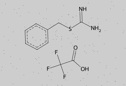 N=C(N)SCc1ccccc1.O=C(O)C(F)(F)F